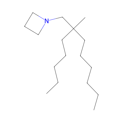 CCCCCCC(C)(CCCCC)CN1CCC1